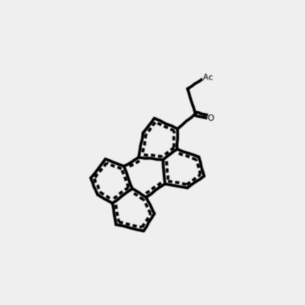 CC(=O)CC(=O)c1ccc2c3cccc4cccc(c5cccc1c52)c43